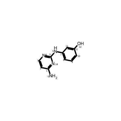 Nc1ccnc(Nc2cccc(O)c2)n1